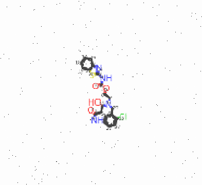 [NH]C(=O)CC(O)N(CCOC(=O)Nc1nc2ccccc2s1)Cc1ccccc1Cl